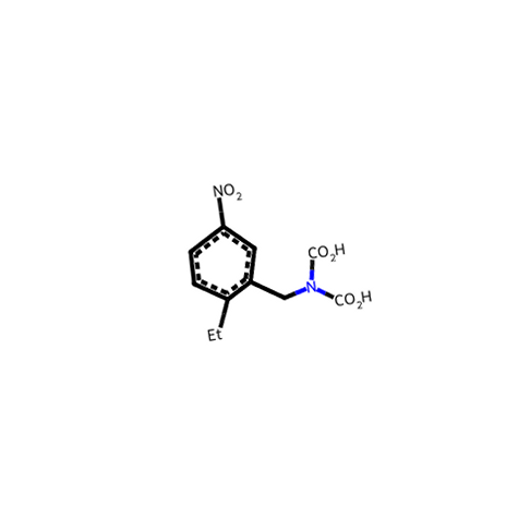 CCc1ccc([N+](=O)[O-])cc1CN(C(=O)O)C(=O)O